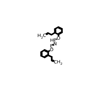 C=CCc1ccccc1OP=NPOc1ccccc1CC=C